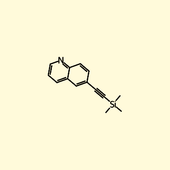 C[Si](C)(C)C#Cc1ccc2ncccc2c1